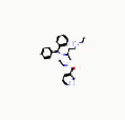 CC(=O)NCCC1CN(C(=O)c2cccnc2)CCN1C(c1ccccc1)c1ccccc1